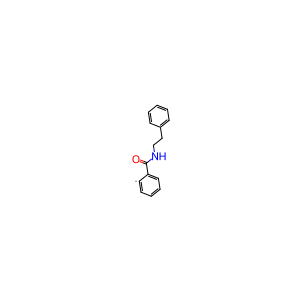 O=C(NCCc1ccccc1)c1[c]cccc1